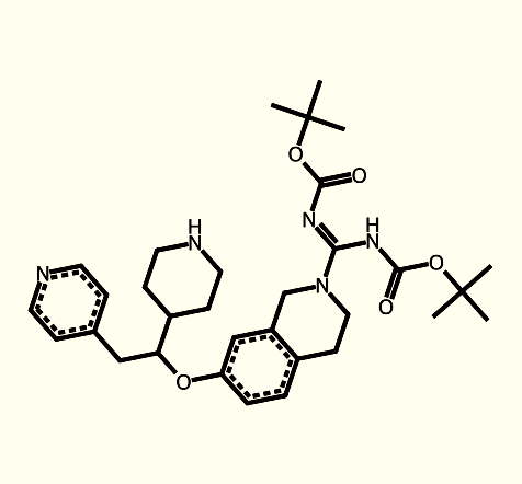 CC(C)(C)OC(=O)N=C(NC(=O)OC(C)(C)C)N1CCc2ccc(OC(Cc3ccncc3)C3CCNCC3)cc2C1